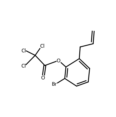 C=CCc1cccc(Br)c1OC(=O)C(Cl)(Cl)Cl